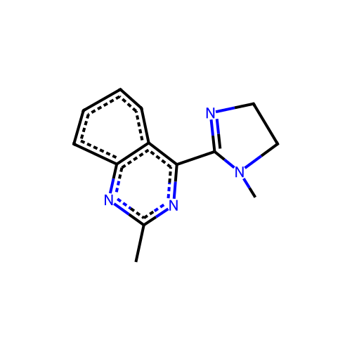 Cc1nc(C2=NCCN2C)c2ccccc2n1